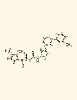 Cc1cc(-c2cccc(-c3csc(NC(=O)CNC(=O)c4c[nH]c(C)c4C)n3)c2)ccn1